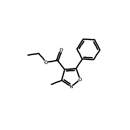 CCOC(=O)c1c(C)noc1-c1ccccc1